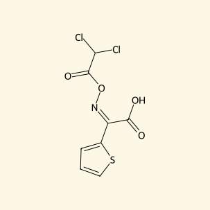 O=C(O)C(=NOC(=O)C(Cl)Cl)c1cccs1